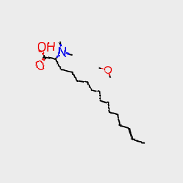 CCCCCCCCCCCCCCC(C(=O)O)N(C)C.COC